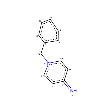 N=c1ccn(Cc2ccccc2)cc1